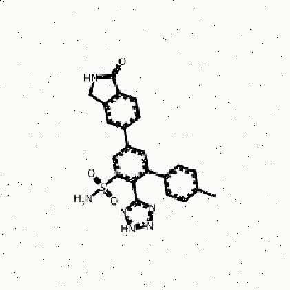 Cc1ccc(-c2cc(-c3ccc4c(c3)CNC4=O)cc(S(N)(=O)=O)c2-c2nn[nH]n2)cc1